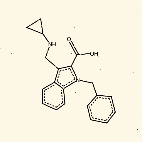 O=C(O)c1c(CNC2CC2)c2ccccc2n1Cc1ccccc1